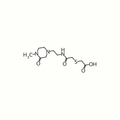 CN1CCN(CCNC(=O)CSCC(=O)O)CC1=O